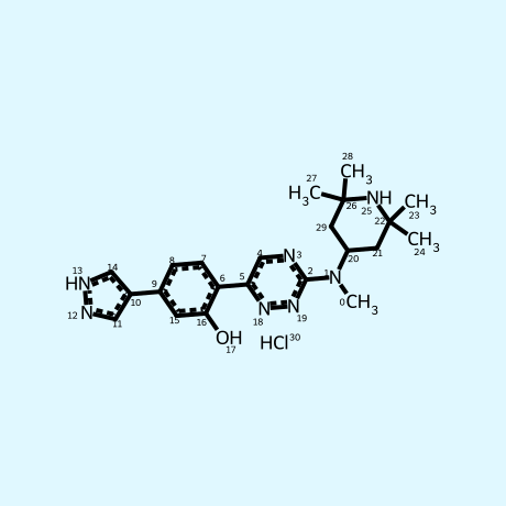 CN(c1ncc(-c2ccc(-c3cn[nH]c3)cc2O)nn1)C1CC(C)(C)NC(C)(C)C1.Cl